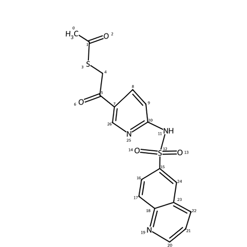 CC(=O)SCC(=O)c1ccc(NS(=O)(=O)c2ccc3ncccc3c2)nc1